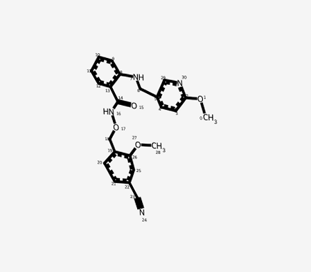 COc1ccc(CNc2ccccc2C(=O)NOCc2ccc(C#N)cc2OC)cn1